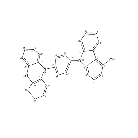 Clc1cccc2c1c1ccccc1n2-c1ccc(N2C3=C(CCC=C3)Oc3ccccc32)cc1